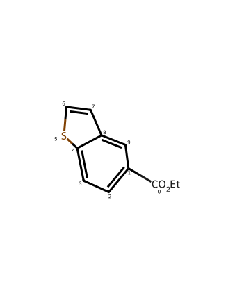 CCOC(=O)c1ccc2sccc2c1